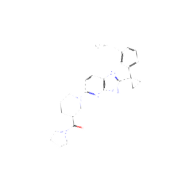 COc1cccc(C2(c3nc4ccc(N5CCCC(C(=O)N6CCCC6)C5)nc4[nH]3)CC2)c1